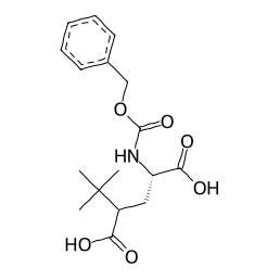 CC(C)(C)C(C[C@H](NC(=O)OCc1ccccc1)C(=O)O)C(=O)O